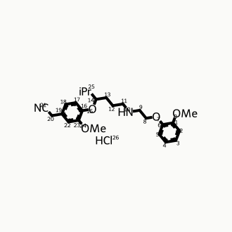 COc1ccccc1OCCNCCCC(Oc1ccc(CC#N)cc1OC)C(C)C.Cl